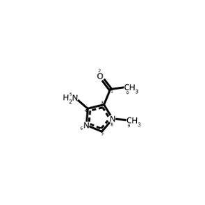 CC(=O)c1c(N)ncn1C